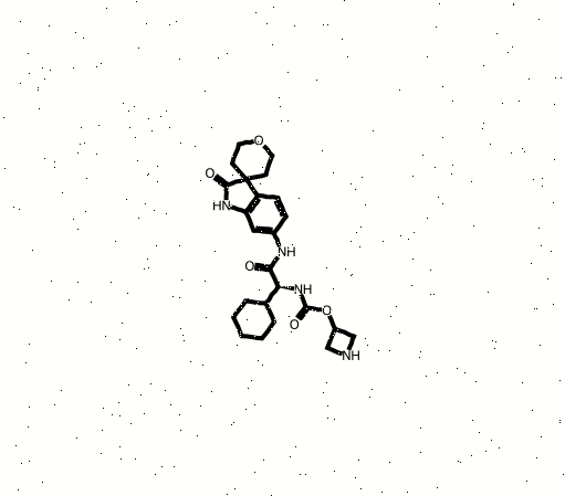 O=C(N[C@H](C(=O)Nc1ccc2c(c1)NC(=O)C21CCOCC1)C1CCCCC1)OC1CNC1